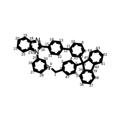 CC(C)Cc1ccc(C2(c3cccc(-c4ccc(-c5nc6ccccc6n5-c5ccccc5)cc4)c3)c3ccccc3-c3ccccc32)cc1